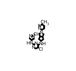 Cc1ccc(N2CC3CC(Nc4nc(Nc5cnn(C)c5)ncc4Cl)CC3C2)nn1